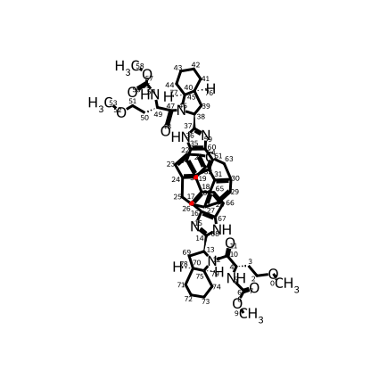 COCC[C@H](NC(=O)OC)C(=O)N1[C@H](c2nc3cc(-c4cc5ccc4CCc4ccc(c(-c6ccc7[nH]c([C@@H]8C[C@@H]9CCCC[C@@H]9N8C(=O)[C@H](CCOC)NC(=O)OC)nc7c6)c4)CC5)ccc3[nH]2)C[C@@H]2CCCC[C@@H]21